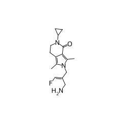 Cc1c2c(c(C)n1CC(=CF)CN)C(=O)N(C1CC1)CC2